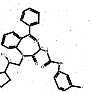 Cc1cccc(NC(=O)N[C@@H]2N=C(c3ccccc3)c3ccccc3N(C[C@H](O)C3CCCC3)C2=O)c1